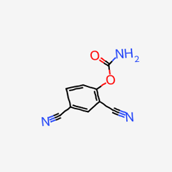 N#Cc1ccc(OC(N)=O)c(C#N)c1